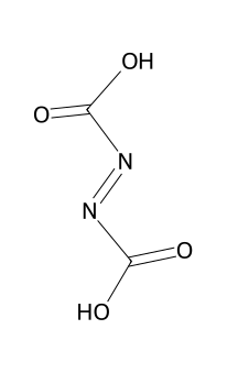 O=C(O)N=NC(=O)O